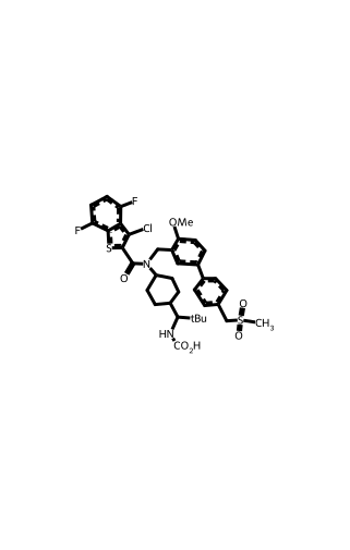 COc1ccc(-c2ccc(CS(C)(=O)=O)cc2)cc1CN(C(=O)c1sc2c(F)ccc(F)c2c1Cl)C1CCC(C(NC(=O)O)C(C)(C)C)CC1